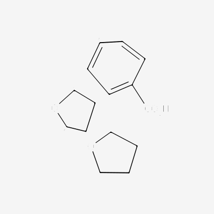 C1CCOC1.C1CCOC1.O=C(O)c1ccccc1